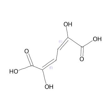 O=C(O)/C(O)=C\C=C(\O)C(=O)O